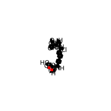 COC(=O)N[C@H](C(=O)N1[C@@H]2C[C@H]2C[C@H]1c1nc(Cl)c(-c2ccc3cc(-c4ccc(-c5c[nH]c([C@@H]6C[C@H]7C[C@H]7N6C(=O)[C@H](C(C)C)N(C)C(=O)O)n5)cc4)ccc3c2)[nH]1)C1CCOCC1